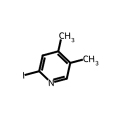 Cc1cnc(I)cc1C